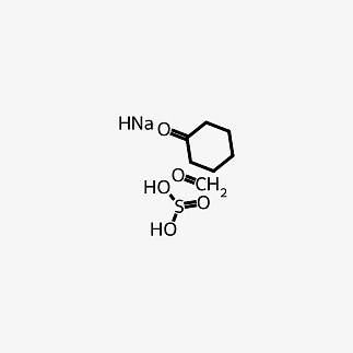 C=O.O=C1CCCCC1.O=S(O)O.[NaH]